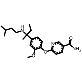 CCC(C)(NCCC(C)C)c1ccc(Oc2ccc(C(N)=O)cn2)c(OC)c1